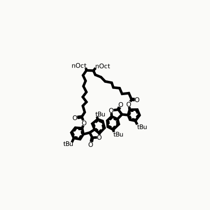 CCCCCCCCC(CCCCCCCCC(=O)Oc1ccc(C(C)(C)C)cc1C1C(=O)Oc2ccc(C(C)(C)C)cc21)C(CCCCCCCC)CCCCCCCCC(=O)Oc1ccc(C(C)(C)C)cc1C1C(=O)Oc2ccc(C(C)(C)C)cc21